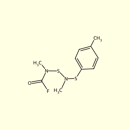 Cc1ccc(SN(C)SN(C)C(=O)F)cc1